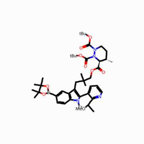 CCn1c(-c2cccnc2C(C)OC)c(CC(C)(C)COC(=O)[C@@H]2[C@@H](C)CCN(C(=O)OC(C)(C)C)N2C(=O)OC(C)(C)C)c2cc(B3OC(C)(C)C(C)(C)O3)ccc21